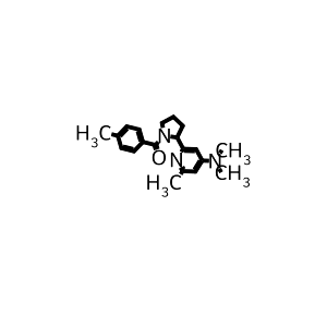 Cc1ccc(C(=O)N2CCCC2c2cc(N(C)C)cc(C)n2)cc1